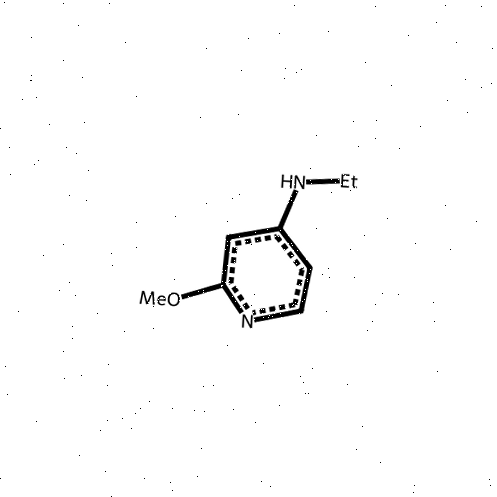 CCNc1ccnc(OC)c1